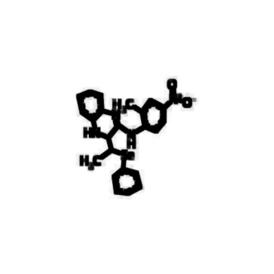 Cc1cc([N+](=O)[O-])ccc1NC1=Nc2ccccc2NC1C(C)[Se]c1ccccc1